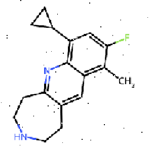 Cc1c(F)cc(C2CC2)c2nc3c(cc12)CCNCC3